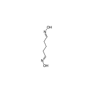 ON=CCCCC=NO